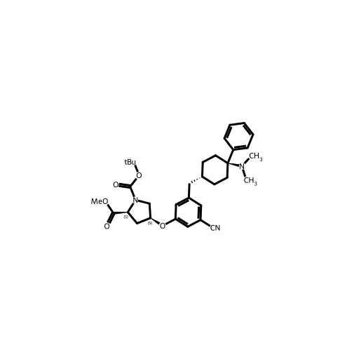 COC(=O)[C@@H]1C[C@H](Oc2cc(C#N)cc(C[C@H]3CC[C@](c4ccccc4)(N(C)C)CC3)c2)CN1C(=O)OC(C)(C)C